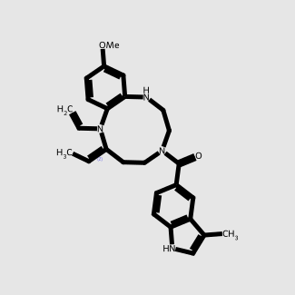 C=CN1/C(=C\C)CCN(C(=O)c2ccc3[nH]cc(C)c3c2)CCNc2cc(OC)ccc21